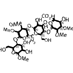 COC1C(OC)[C@H](O[C@H]2O[C@@H](CO)[C@@H](O[C@@H]3OC(C(=O)O)[C@@H](O)[C@H](OC)C3OC)C(O)C2O)[C@H](C)O[C@H]1O[C@@H]1C(CO)O[C@H](OC)C(O)[C@H]1O